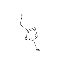 CC(=O)c1ccc(CF)o1